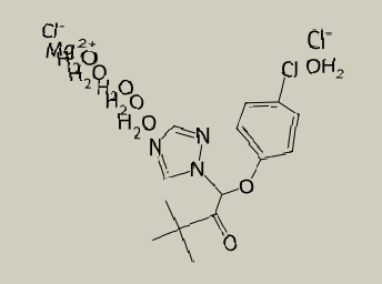 CC(C)(C)C(=O)C(Oc1ccc(Cl)cc1)n1cncn1.O.O.O.O.O.O.[Cl-].[Cl-].[Mg+2]